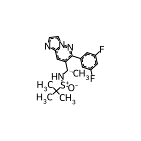 C[C@H](N[S@+]([O-])C(C)(C)C)c1cc2nccn2nc1-c1cc(F)cc(F)c1